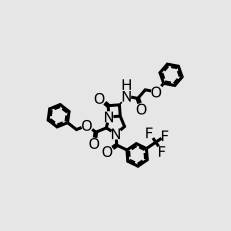 O=C(COc1ccccc1)N[C@H]1C(=O)N2C1CN(C(=O)c1cccc(C(F)(F)F)c1)C2C(=O)OCc1ccccc1